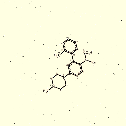 CCN(C(=O)O)c1cnc(N2CCN(C)CC2)cc1-c1ccccc1C